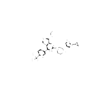 CCOC(=O)c1nc(N2C[C@@H](C)O[C@@H](c3cnn(C4CC4)c3)C2)nc(-c2ccc(C(F)(F)F)nc2)c1C=O